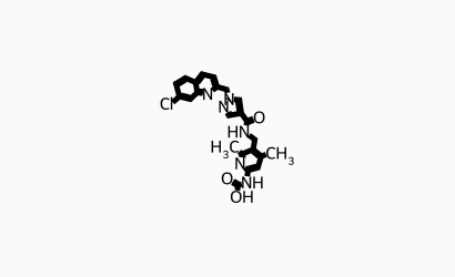 Cc1cc(NC(=O)O)nc(C)c1CNC(=O)c1cnn(Cc2ccc3ccc(Cl)cc3n2)c1